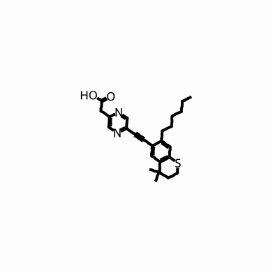 CCCCCCc1cc2c(cc1C#Cc1cnc(CC(=O)O)cn1)C(C)(C)CCS2